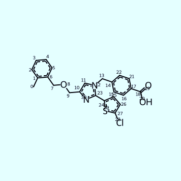 Cc1ccccc1COCc1cn(Cc2ccc(C(=O)O)cc2)c(-c2ccc(Cl)s2)n1